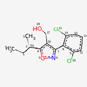 CC[C@H](C)c1onc(-c2c(Cl)cccc2Cl)c1CO